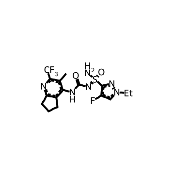 CCn1cc(F)c(S(N)(=O)=NC(=O)Nc2c(C)c(C(F)(F)F)nc3c2CCC3)n1